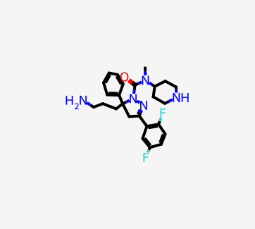 CN(C(=O)N1N=C(c2cc(F)ccc2F)CC1(CCCN)c1ccccc1)C1CCNCC1